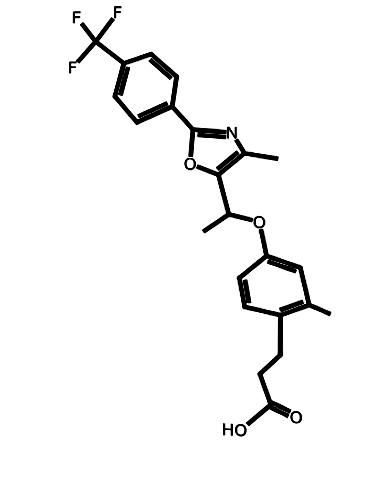 Cc1cc(OC(C)c2oc(-c3ccc(C(F)(F)F)cc3)nc2C)ccc1CCC(=O)O